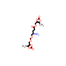 Cc1oc(=O)oc1COCOC[C@@H](N)CCC(=O)OCc1oc(=O)oc1C